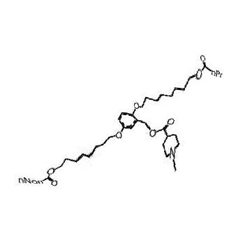 CCCCCCCCCC(=O)OCCCCCCCCOc1ccc(OCCCCCCCCOC(=O)CCC)c(COC(=O)C2CCN(C)CC2)c1